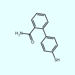 NC(=O)c1ccccc1-c1ccc(S)cc1